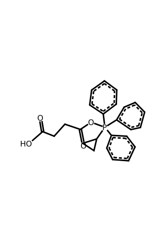 O=C(O)CCC(=O)OP(c1ccccc1)(c1ccccc1)(c1ccccc1)C1CC1